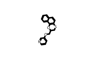 c1cncc(OCC2CSc3ccc4ccccc4c3O2)c1